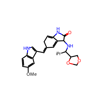 COc1ccc2[nH]cc(C=C3C=C4C(=CC3)NC(=O)C4NC(C(C)C)C3COCO3)c2c1